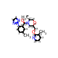 Cc1ccc(-n2nccn2)c(C(=O)N2CC(COc3ncccc3C)OCC2C)c1